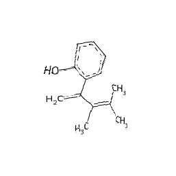 C=C(C(C)=C(C)C)c1ccccc1O